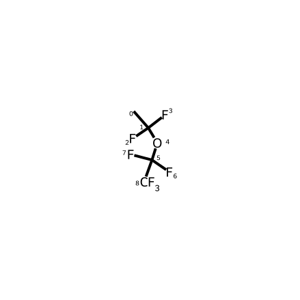 CC(F)(F)OC(F)(F)C(F)(F)F